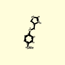 CSc1ccc(OCC2CSC=N2)cc1